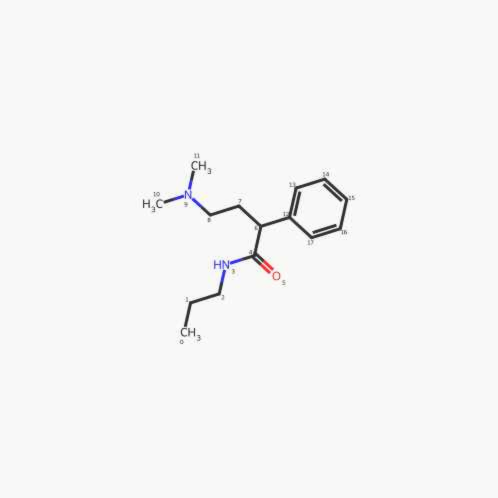 CCCNC(=O)C(CCN(C)C)c1ccccc1